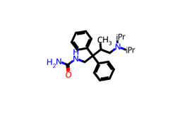 CC(C)N(CC(C)C(CNC(N)=O)(c1ccccc1)c1ccccc1)C(C)C